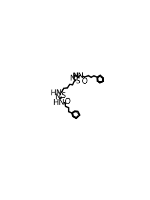 O=C(CCCc1ccccc1)NC1=NNC(CCCCc2nnc(NC(=O)CCCc3ccccc3)s2)S1